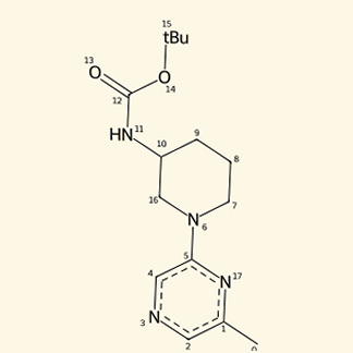 Cc1cncc(N2CCCC(NC(=O)OC(C)(C)C)C2)n1